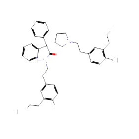 CCCc1cc(CCNC(=O)C(c2ccccc2)(c2ccccc2)[C@@H]2CCN(CCc3ccc(C)c(CCC)c3)C2)ccc1C